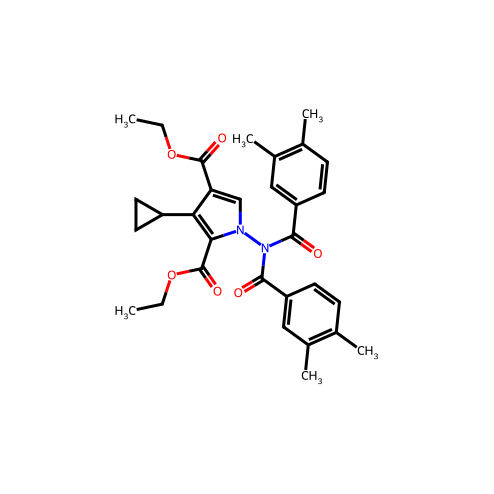 CCOC(=O)c1cn(N(C(=O)c2ccc(C)c(C)c2)C(=O)c2ccc(C)c(C)c2)c(C(=O)OCC)c1C1CC1